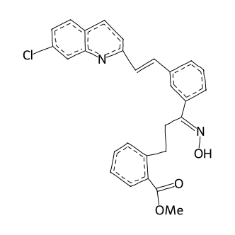 COC(=O)c1ccccc1CCC(=NO)c1cccc(/C=C/c2ccc3ccc(Cl)cc3n2)c1